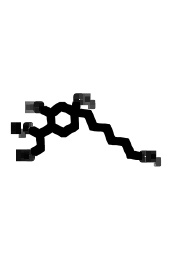 CCCCCCCC1(C)CCC(C(C)CO)C(O)C1